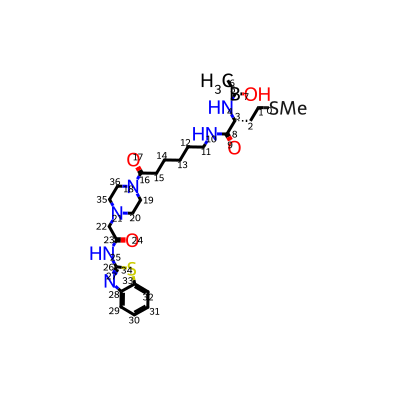 CSCC[C@@H](NB(C)O)C(=O)NCCCCCC(=O)N1CCN(CC(=O)Nc2nc3ccccc3s2)CC1